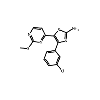 CSc1nccc(-c2sc(N)nc2-c2cccc(Cl)c2)n1